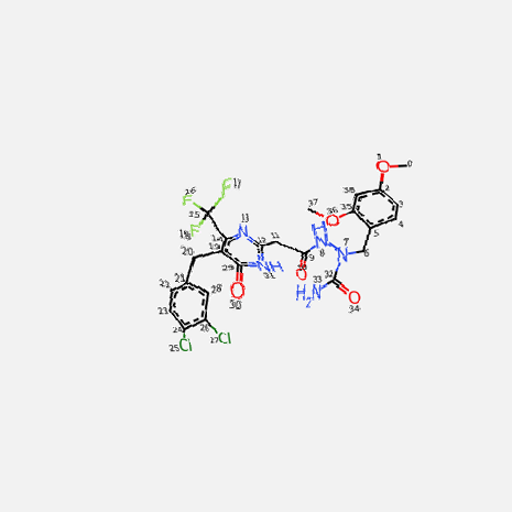 COc1ccc(CN(NC(=O)Cc2nc(C(F)(F)F)c(Cc3ccc(Cl)c(Cl)c3)c(=O)[nH]2)C(N)=O)c(OC)c1